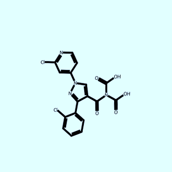 O=C(O)N(C(=O)O)C(=O)c1cn(-c2ccnc(Cl)c2)nc1-c1ccccc1Cl